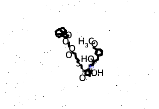 COCc1cccc(C[C@H](O)/C=C/[C@H]2[C@H](O)CC(=O)[C@@H]2CCSCCCC(=O)OCCOC(=O)C23CC4CC(CC(C4)C2)C3)c1